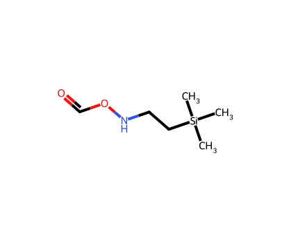 C[Si](C)(C)CCNOC=O